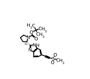 CC(C)(C)OC(=O)N1CCC[C@H]1c1nc2ccc(C#CS(C)(=O)=O)cc2[nH]1